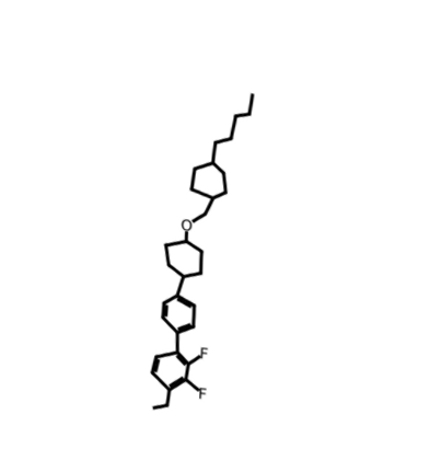 CCCCCC1CCC(COC2CCC(c3ccc(-c4ccc(CC)c(F)c4F)cc3)CC2)CC1